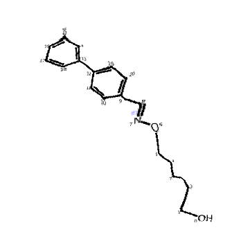 OCCCCCO/N=C/c1ccc(-c2ccccc2)cc1